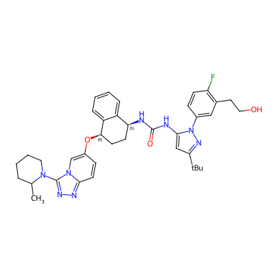 CC1CCCCN1c1nnc2ccc(O[C@@H]3CC[C@H](NC(=O)Nc4cc(C(C)(C)C)nn4-c4ccc(F)c(CCO)c4)c4ccccc43)cn12